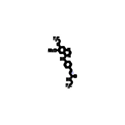 COc1cc2c(Nc3ccc(/C=C/C(=O)NCC(F)(F)F)cc3)ncnc2cc1OCC(F)(F)F